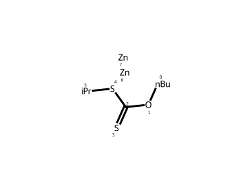 CCCCOC(=S)SC(C)C.[Zn].[Zn]